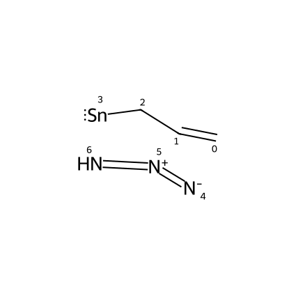 C=C[CH2][Sn].[N-]=[N+]=N